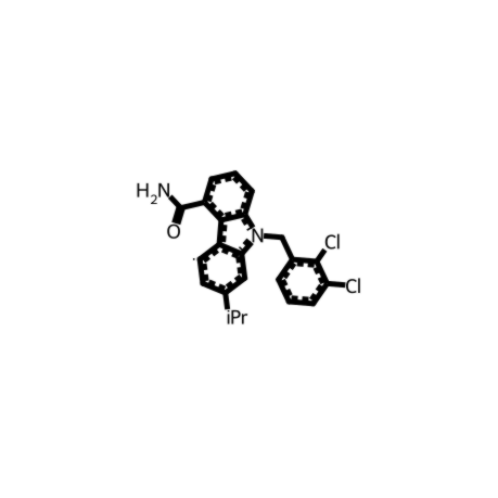 CC(C)c1c[c]c2c3c(C(N)=O)cccc3n(Cc3cccc(Cl)c3Cl)c2c1